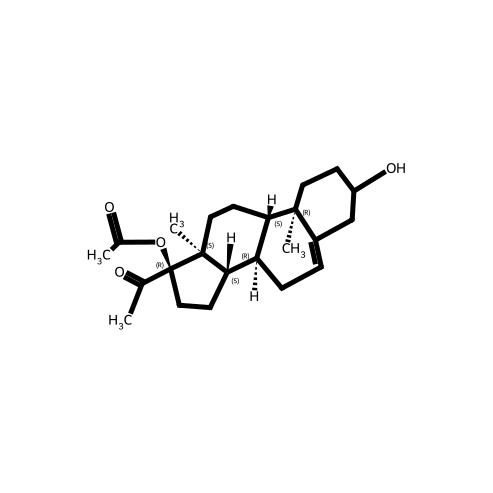 CC(=O)O[C@]1(C(C)=O)CC[C@H]2[C@@H]3CC=C4CC(O)CC[C@]4(C)[C@H]3CC[C@@]21C